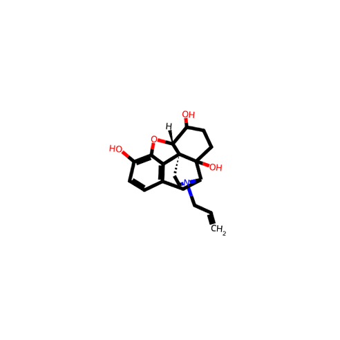 C=CCN1CC[C@]23c4c5ccc(O)c4O[C@@H]2C(O)CCC3(O)C1C5